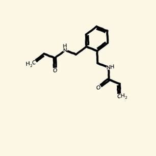 C=CC(=O)NCc1ccccc1CNC(=O)C=C